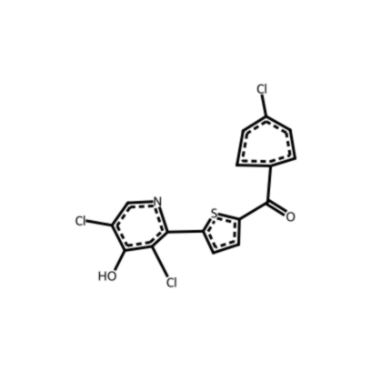 O=C(c1ccc(Cl)cc1)c1ccc(-c2ncc(Cl)c(O)c2Cl)s1